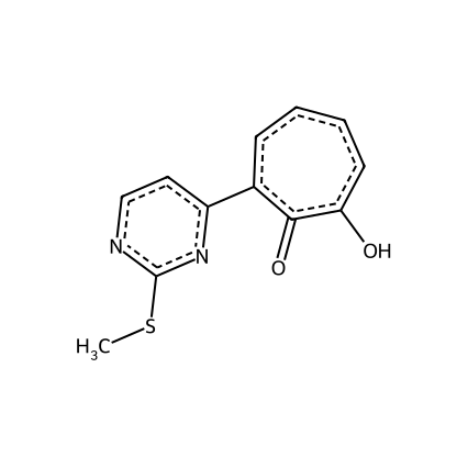 CSc1nccc(-c2ccccc(O)c2=O)n1